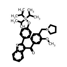 COc1cc(C(=O)c2c(-c3ccc(O[Si](C(C)C)(C(C)C)C(C)C)cc3)sc3ccccc23)ccc1CN1CCCC1